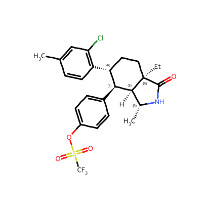 CC[C@@]12CC[C@@H](c3ccc(C)cc3Cl)[C@H](c3ccc(OS(=O)(=O)C(F)(F)F)cc3)[C@@H]1[C@@H](C)NC2=O